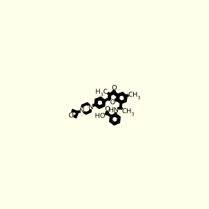 Cc1cc(C(C)Nc2ccccc2C(=O)O)c2oc(-c3ccc(N4CCN(C5COC5)CC4)cc3)c(C)c(=O)c2c1